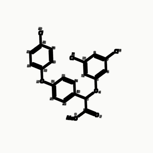 COC(=O)C(Oc1cc(Cl)cc(Cl)c1)c1ccc(Oc2ccc(Cl)cc2)cc1